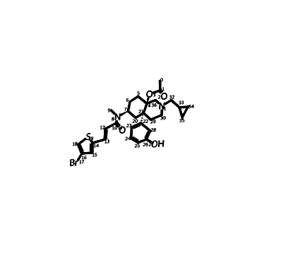 CC(=O)O[C@]12CC[C@H](N(C)C(=O)/C=C/c3cc(Br)cs3)C[C@]1(c1cccc(O)c1)CCN(CC1CC1)C2